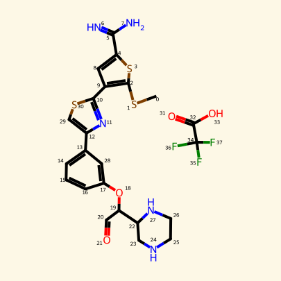 CSc1sc(C(=N)N)cc1-c1nc(-c2cccc(OC(C=O)C3CNCCN3)c2)cs1.O=C(O)C(F)(F)F